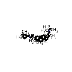 COc1cc(/C=C/C(=O)O[C@H]2CC[C@]34C[C@]35CC[C@]3(C)[C@@H](C(C)C/C=C(\C)C(C)C)CC[C@@]3(C)[C@@H]5CC[C@H]4C2(C)C)ccc1O